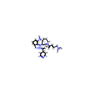 C=C=C(NN(c1c(C)cccc1N=C)C1CCCCN(C(=C)/C=C/CN(C)C)C1)c1ccncc1